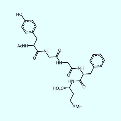 CSCC[C@H](NC(=O)[C@H](Cc1ccccc1)NC(=O)CNC(=O)CNC(=O)[C@H](Cc1ccc(O)cc1)NC(C)=O)C(=O)O